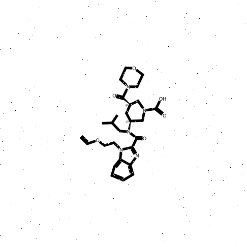 C=COCCn1c(C(=O)N(CC(C)C)[C@H]2C[C@@H](C(=O)N3CCOCC3)CN(C(=O)O)C2)nc2ccccc21